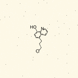 Oc1ccc(CCCCl)c2cccnc12